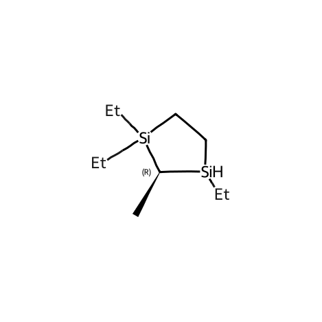 CC[SiH]1CC[Si](CC)(CC)[C@@H]1C